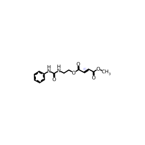 COC(=O)/C=C/C(=O)OCCNC(=O)Nc1ccccc1